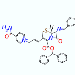 NC(=O)c1cc[n+](C/C=C/C2=C(C(=O)OC(c3ccccc3)c3ccccc3)N3C(=O)C(/N=C/c4ccccc4)[C@H]3SC2)cc1